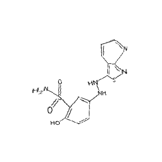 NS(=O)(=O)c1cc(NNc2snc3ncccc23)ccc1O